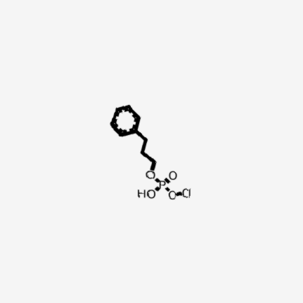 O=P(O)(OCl)OCCCc1ccccc1